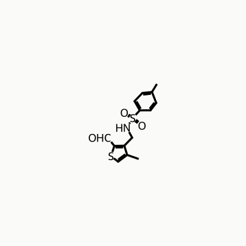 Cc1ccc(S(=O)(=O)NCc2c(C)csc2C=O)cc1